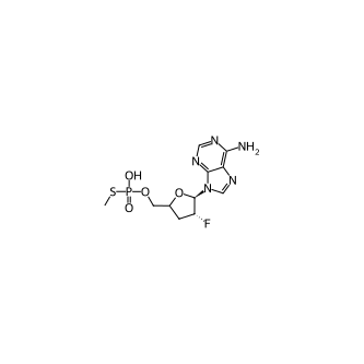 CSP(=O)(O)OCC1C[C@@H](F)[C@H](n2cnc3c(N)ncnc32)O1